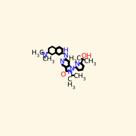 CC(C)n1c(=O)c2cnc(Nc3ccc4c(c3)CC(N(C)C)CC4)cc2n1-c1cccc(C(C)(C)O)n1